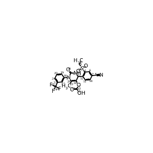 CCS(=O)(=O)c1cc(C#N)ccc1C1NC(=O)N(c2cccc(C(F)(F)F)c2)C(C)=C1OC(=O)O